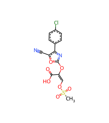 CS(=O)(=O)OC=C(Oc1nc(-c2ccc(Cl)cc2)c(C#N)o1)C(=O)O